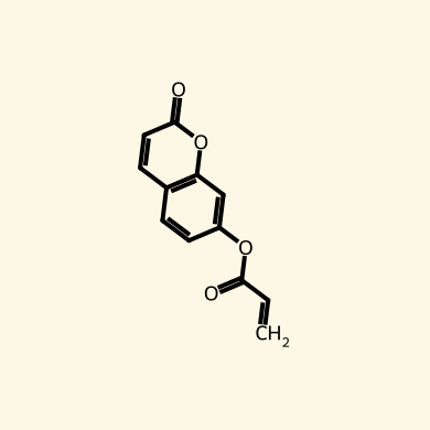 C=CC(=O)Oc1ccc2ccc(=O)oc2c1